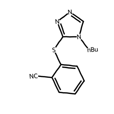 CCCCn1cnnc1Sc1ccccc1C#N